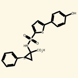 O=C(O)C1(NS(=O)(=O)c2ccc(-c3ccc(O)cc3)s2)C[C@H]1c1ccccc1